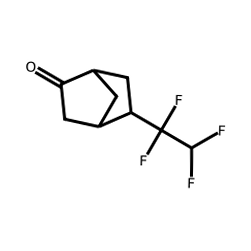 O=C1CC2CC1CC2C(F)(F)C(F)F